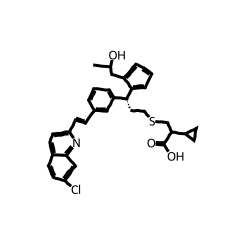 CC(O)Cc1ccccc1[C@H](CCSCC(C(=O)O)C1CC1)c1cccc(C=Cc2ccc3ccc(Cl)cc3n2)c1